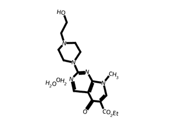 CCOC(=O)c1cn(C)c2nc(N3CCN(CCO)CC3)ncc2c1=O.O.O